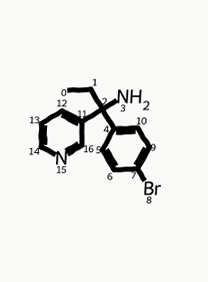 CCC(N)(c1ccc(Br)cc1)c1cccnc1